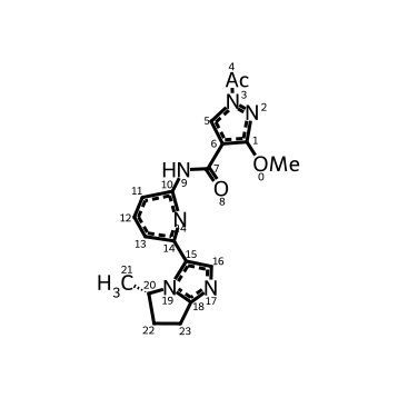 COc1nn(C(C)=O)cc1C(=O)Nc1cccc(-c2cnc3n2[C@@H](C)CC3)n1